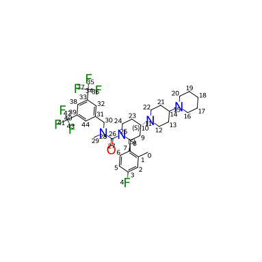 Cc1cc(F)ccc1[C@@H]1C[C@@H](N2CCC(N3CCCCC3)CC2)CCN1C(=O)N(C)Cc1cc(C(F)(F)F)cc(C(F)(F)F)c1